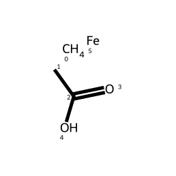 C.CC(=O)O.[Fe]